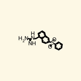 N=C(N)NCc1cccc2cc(S(=O)(=O)c3ccccc3)ccc12